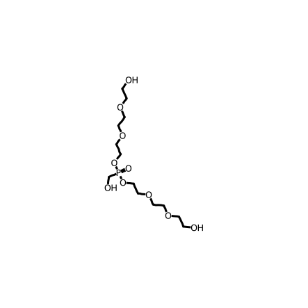 O=P(CO)(OCCOCCOCCO)OCCOCCOCCO